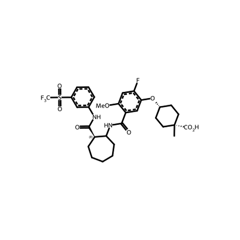 COc1cc(F)c(O[C@H]2CC[C@@](C)(C(=O)O)CC2)cc1C(=O)NC1CCCCC[C@H]1C(=O)Nc1cccc(S(=O)(=O)C(F)(F)F)c1